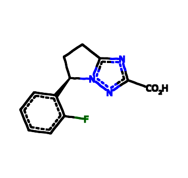 O=C(O)c1nc2n(n1)[C@@H](c1ccccc1F)CC2